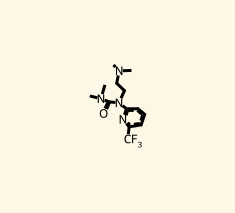 CN(C)CCN(C(=O)N(C)C)c1cccc(C(F)(F)F)n1